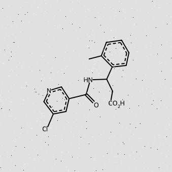 Cc1ccccc1C(CC(=O)O)NC(=O)c1cncc(Cl)c1